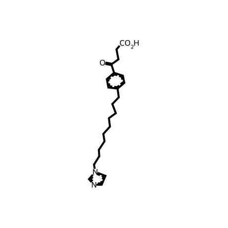 O=C(O)CCC(=O)c1ccc(CCCCCCCCCCn2ccnc2)cc1